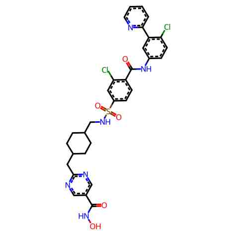 O=C(NO)c1cnc(CC2CCC(CNS(=O)(=O)c3ccc(C(=O)Nc4ccc(Cl)c(-c5ccccn5)c4)c(Cl)c3)CC2)nc1